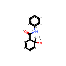 CC1(O)C=CC=CC1C(=O)Nc1ccccc1